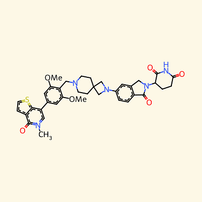 COc1cc(-c2cn(C)c(=O)c3ccsc23)cc(OC)c1CN1CCC2(CC1)CN(c1ccc3c(c1)CN(C1CCC(=O)NC1=O)C3=O)C2